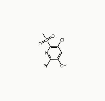 CC(C)c1nc(S(C)(=O)=O)c(Cl)cc1O